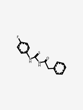 O=C(Cc1ccccc1)NC(=S)Nc1ccc(F)cc1